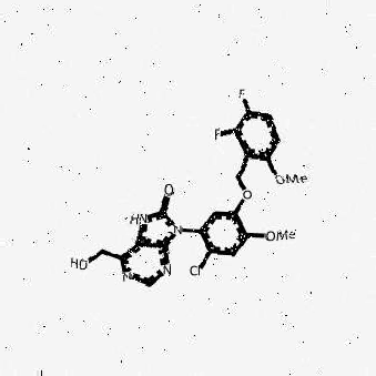 COc1cc(Cl)c(-n2c(=O)[nH]c3c(CO)ncnc32)cc1OCc1c(OC)ccc(F)c1F